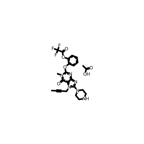 CC#CCn1c(N2CCNCC2)nc2nc(Oc3ccccc3OC(=O)C(F)(F)F)n(C)c(=O)c21.CC(=O)O